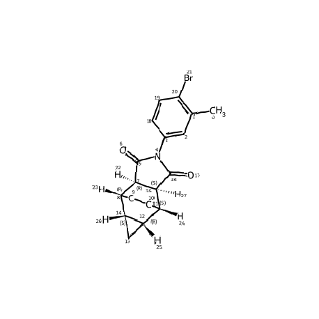 Cc1cc(N2C(=O)[C@@H]3[C@@H]4CC[C@@H]([C@@H]5C[C@@H]54)[C@@H]3C2=O)ccc1Br